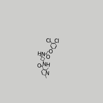 Cc1ccc(C(=O)NC2CC(C)(NC(=O)COc3ccc(Cl)c(Cl)c3)C2)c(C)n1